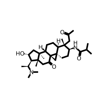 CC(=O)C[C@]1(C)[C@@H](NC(=O)C(C)C)CC[C@]23C[C@]24C(=O)C[C@]2(C)[C@@H]([C@H](C)N(C)C)[C@H](O)C[C@@]2(C)[C@@H]4CC[C@@H]13